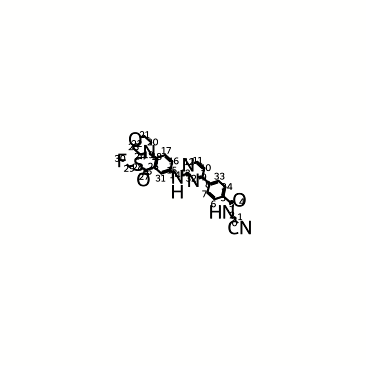 N#CCNC(=O)c1ccc(-c2ccnc(Nc3ccc(N4CCOCC4)c(C(=O)SCF)c3)n2)cc1